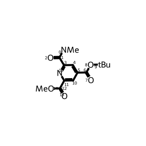 CNC(=O)c1cc(C(=O)OC(C)(C)C)cc(C(=O)OC)n1